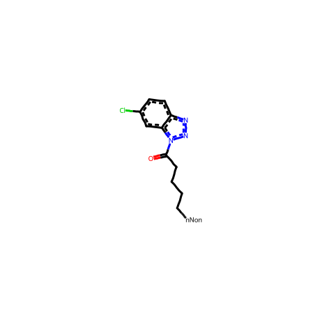 CCCCCCCCCCCCCC(=O)n1nnc2ccc(Cl)cc21